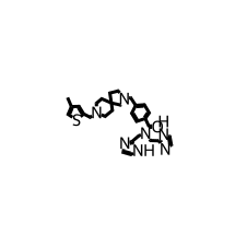 Cc1csc(CN2CCC3(CC2)CCN(Cc2ccc(C(=O)N(Cc4ncc[nH]4)Cc4ncc[nH]4)cc2)C3)c1